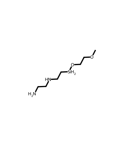 COCCO[SiH2]CCNCCN